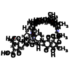 COc1c(N2CCC(N(C)C3CCN(C4=C5NC(=O)/C(C)=C\C=C\[C@H](C)[C@H](O)[C@@H](C)[C@@H](O)[C@@H](C)[C@H](OC(C)=O)[C@H](C)[C@@H](OC)/C=C/O[C@@]6(C)Oc7c(C)c(O)c(c(c7C6=O)C4=O)C5=O)CC3)C2)c(F)cc2c(=O)c(C(=O)O)cn(C3CC3)c12